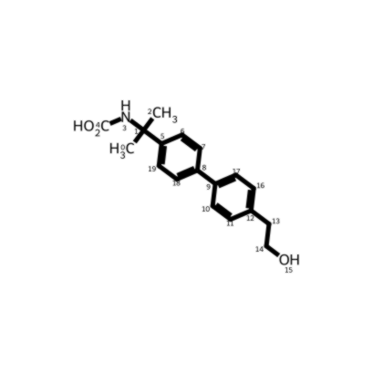 CC(C)(NC(=O)O)c1ccc(-c2ccc(CCO)cc2)cc1